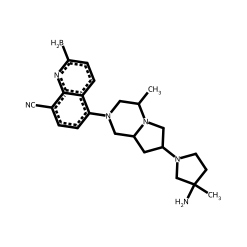 Bc1ccc2c(N3CC(C)N4CC(N5CCC(C)(N)C5)CC4C3)ccc(C#N)c2n1